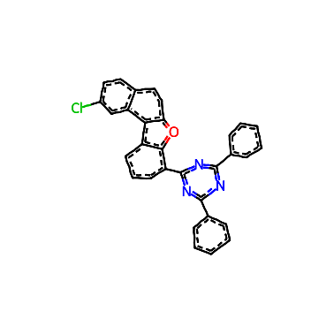 Clc1ccc2ccc3oc4c(-c5nc(-c6ccccc6)nc(-c6ccccc6)n5)cccc4c3c2c1